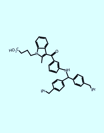 Cc1c(C(=O)c2cccc(NC(c3ccc(CC(C)C)cc3)c3ccc(CC(C)C)cc3)c2)c2ccccc2n1CCCC(=O)O